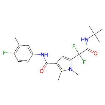 Cc1cc(NC(=O)c2cc(C(F)(F)C(=O)NC(C)(C)C)n(C)c2C)ccc1F